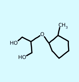 CC1CCCCC1OC(CO)CO